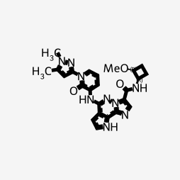 CO[C@@H]1CC[C@H]1NC(=O)c1cnc2c3[nH]ccc3c(Nc3cccn(-c4cc(C)n(C)n4)c3=O)nn12